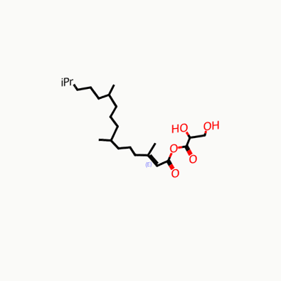 C/C(=C\C(=O)OC(=O)C(O)CO)CCCC(C)CCCC(C)CCCC(C)C